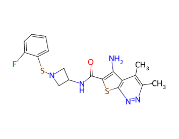 Cc1nnc2sc(C(=O)NC3CN(Sc4ccccc4F)C3)c(N)c2c1C